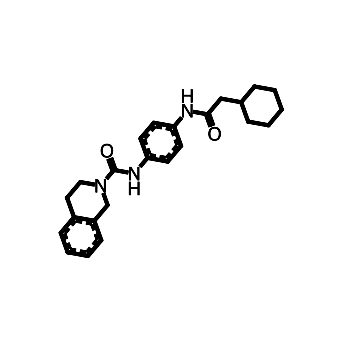 O=C(CC1CCCCC1)Nc1ccc(NC(=O)N2CCc3ccccc3C2)cc1